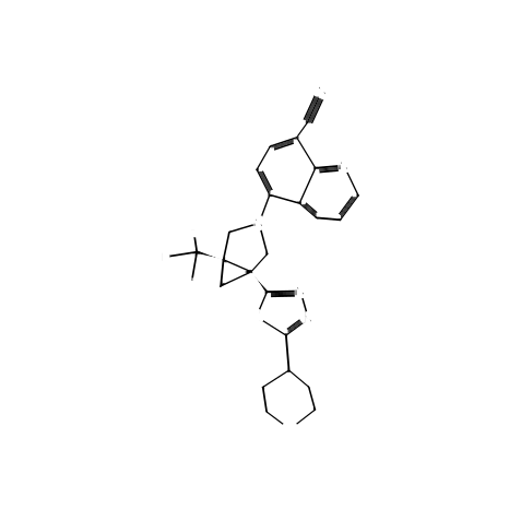 N#Cc1ccc(N2C[C@]3(c4nnc(C5CCOCC5)o4)C[C@]3(C(F)(F)F)C2)c2cccnc12